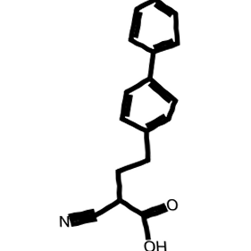 N#CC(CCc1ccc(-c2ccccc2)cc1)C(=O)O